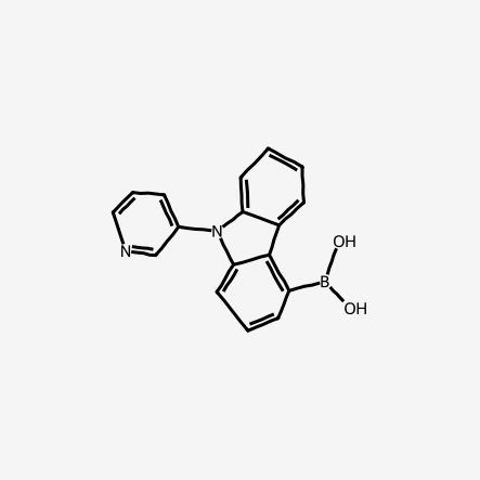 OB(O)c1cccc2c1c1ccccc1n2-c1cccnc1